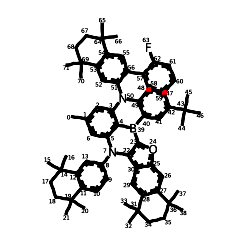 Cc1cc2c3c(c1)N(c1ccc4c(c1)C(C)(C)CCC4(C)C)c1c(oc4cc5c(cc14)C(C)(C)CCC5(C)C)B3c1cc(C(C)(C)C)ccc1N2c1cc2c(cc1-c1ccccc1F)C(C)(C)CCC2(C)C